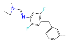 CCN(C)C=Nc1cc(F)c(Cc2cccc(C)c2)cc1F